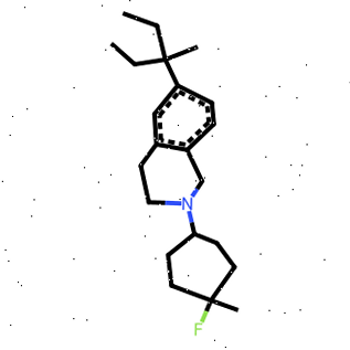 CCC(C)(CC)c1ccc2c(c1)CCN(C1CCC(C)(F)CC1)C2